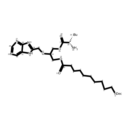 CCCCCCCCCCCCCCCCCCCC(=O)OCC(COC(=O)[C@@H](N)[C@@H](C)CC)OCc1nc2ncncc2[nH]1